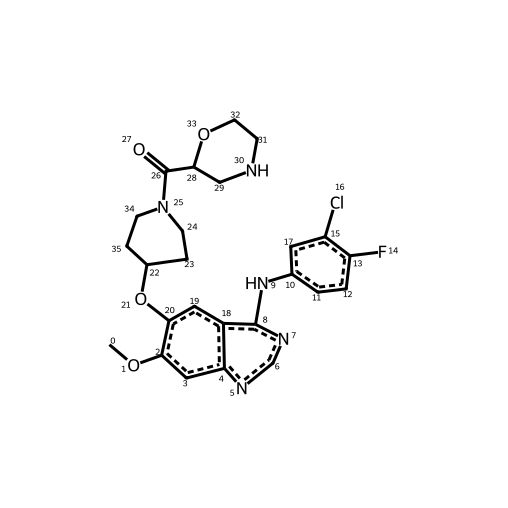 COc1cc2ncnc(Nc3ccc(F)c(Cl)c3)c2cc1OC1CCN(C(=O)C2CNCCO2)CC1